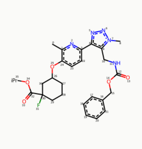 Cc1nc(-c2nnn(C)c2CNC(=O)OCc2ccccc2)ccc1OC1CCCC(F)(C(=O)OC(C)C)C1